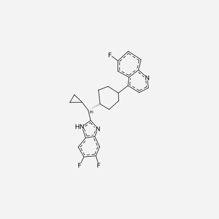 Fc1ccc2nccc(C3CCC([C@H](c4nc5cc(F)c(F)cc5[nH]4)C4CC4)CC3)c2c1